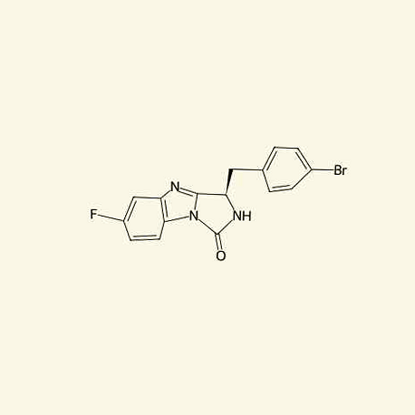 O=C1N[C@H](Cc2ccc(Br)cc2)c2nc3cc(F)ccc3n21